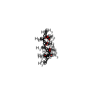 CNC(=N)C1(C[C@@H](C)N)c2ccc(C(NOC)c3ccc4c(c3)CCc3cc(C(NOC)c5ccc6c(c5)CCc5cc(NOC)ccc5C6(C[C@H](C)N)C(=N)Nc5ccc(F)cc5)ccc3C4(C[C@@H](C)N)C(=N)N)cc2CCc2cc(C(NOC)c3ccc4c(c3)CCc3cc(CNOC)ccc3C4(C[C@@H](C)N)C(=N)NC(C)C)ccc21